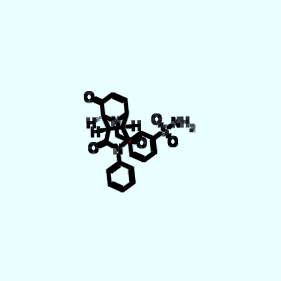 NS(=O)(=O)c1cccc(CN2C3C=CC(=O)[C@@H]2[C@H]2C(=O)N(c4ccccc4)C(=O)[C@@H]32)c1